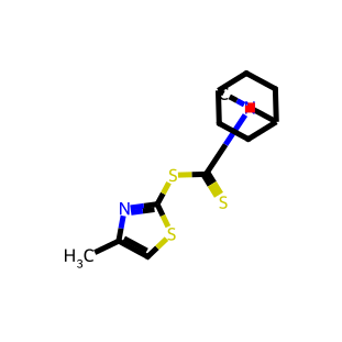 Cc1csc(SC(=S)N2CC3CCC(CC3)C2)n1